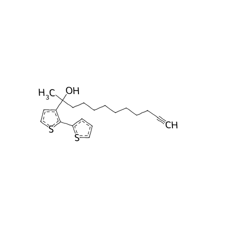 C#CCCCCCCCCC(C)(O)c1ccsc1-c1cccs1